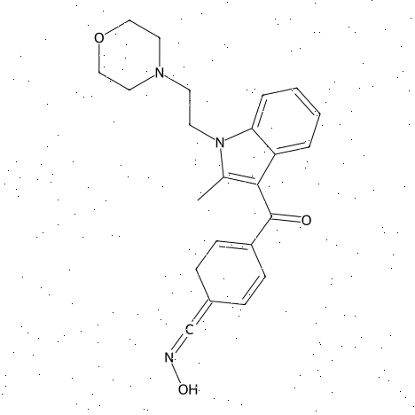 Cc1c(C(=O)C2=CCC(=C=NO)C=C2)c2ccccc2n1CCN1CCOCC1